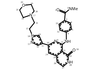 CNC(=O)c1ccc(Nc2nc(-c3cnn(CCN4CCOCC4)c3)cc3cc[nH]c(=O)c23)cc1